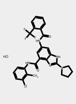 Cc1c(Cl)cccc1NC(=O)c1cc(NC(=O)c2ccccc2C(F)(F)F)cc2[nH]c(N3CCCC3)nc12.Cl